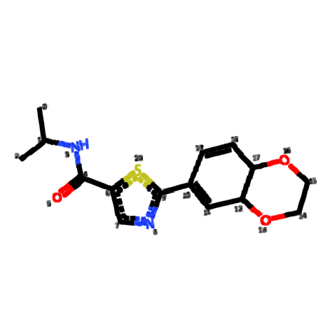 CC(C)NC(=O)c1cnc(C2=CC3OCCOC3C=C2)s1